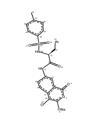 COc1oc(=O)c2cc(NC(=O)[C@H](CC(C)C)NS(=O)(=O)c3ccc(C)cc3)ccc2c1Cl